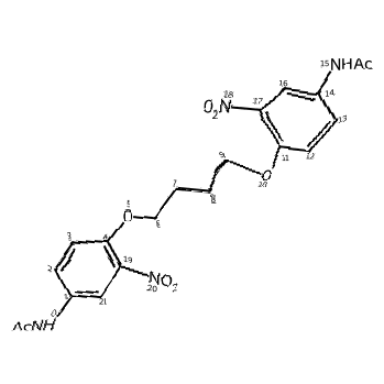 CC(=O)Nc1ccc(OCCCCOc2ccc(NC(C)=O)cc2[N+](=O)[O-])c([N+](=O)[O-])c1